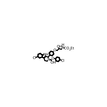 CCOC(=O)NCC(O)COc1ccc(C2c3[nH]c4ccc(Cl)cc4c3CCN2C(O)Oc2ccc(Cl)cc2)cc1